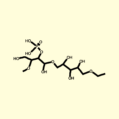 CCOCC(O)C(O)C(O)COC(O)C(OP(=O)(O)O)C(CO)OC